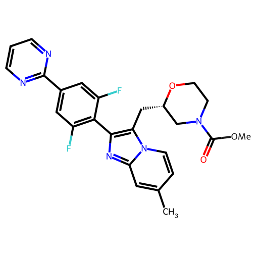 COC(=O)N1CCO[C@@H](Cc2c(-c3c(F)cc(-c4ncccn4)cc3F)nc3cc(C)ccn23)C1